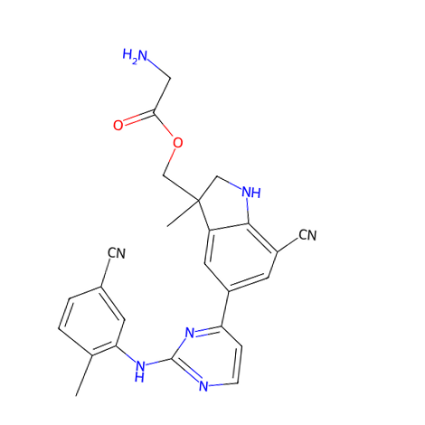 Cc1ccc(C#N)cc1Nc1nccc(-c2cc(C#N)c3c(c2)C(C)(COC(=O)CN)CN3)n1